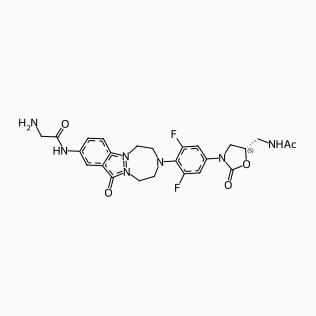 CC(=O)NC[C@H]1CN(c2cc(F)c(N3CCn4c(=O)c5cc(NC(=O)CN)ccc5n4CC3)c(F)c2)C(=O)O1